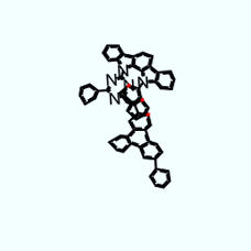 c1ccc(-c2ccc3c4ccc(-c5cccc(-n6c7ccccc7c7ccc8c9ccccc9n(-c9nc(-c%10ccccc%10)nc(-c%10ccccc%10)n9)c8c76)c5)cc4c4ccccc4c3c2)cc1